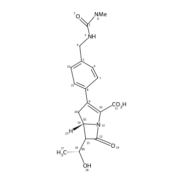 CNC(=O)NCc1ccc(C2=C(C(=O)O)N3C(=O)C([C@@H](C)O)[C@@H]3C2)cc1